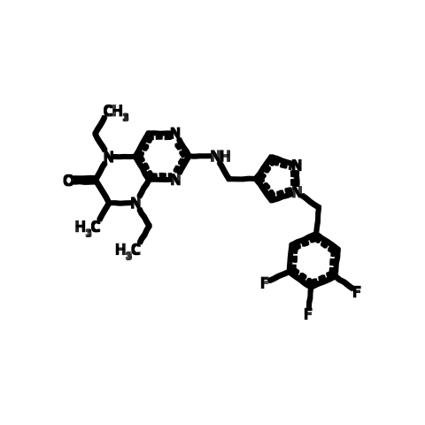 CCN1C(=O)C(C)N(CC)c2nc(NCc3cnn(Cc4cc(F)c(F)c(F)c4)c3)ncc21